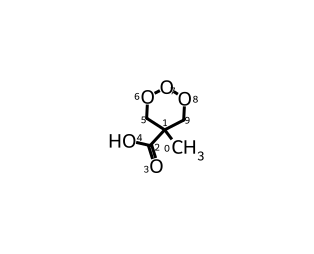 CC1(C(=O)O)COOOC1